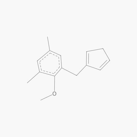 COc1c(C)cc(C)cc1CC1=CCC=C1